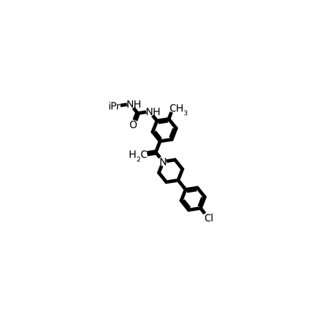 C=C(c1ccc(C)c(NC(=O)NC(C)C)c1)N1CCC(c2ccc(Cl)cc2)CC1